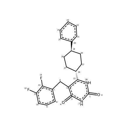 O=c1[nH]c(=O)c(Cc2cccc(F)c2F)c([C@H]2CC[C@H](c3ccccc3)CC2)[nH]1